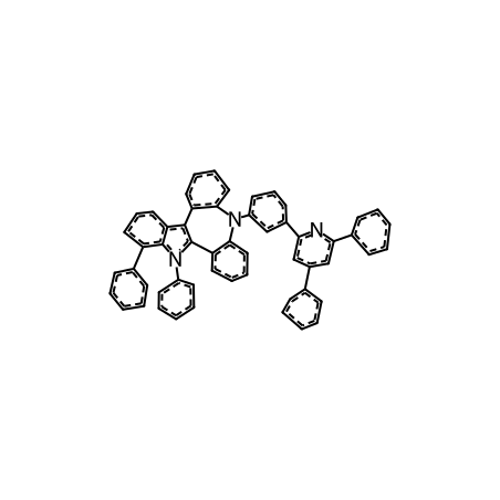 c1ccc(-c2cc(-c3ccccc3)nc(-c3cccc(N4c5ccccc5-c5c(n(-c6ccccc6)c6c(-c7ccccc7)cccc56)-c5ccccc54)c3)c2)cc1